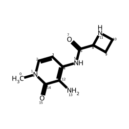 Cn1ccc(NC(=O)C2CCN2)c(N)c1=O